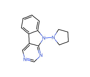 c1ccc2c(c1)c1cncnc1n2N1CCCC1